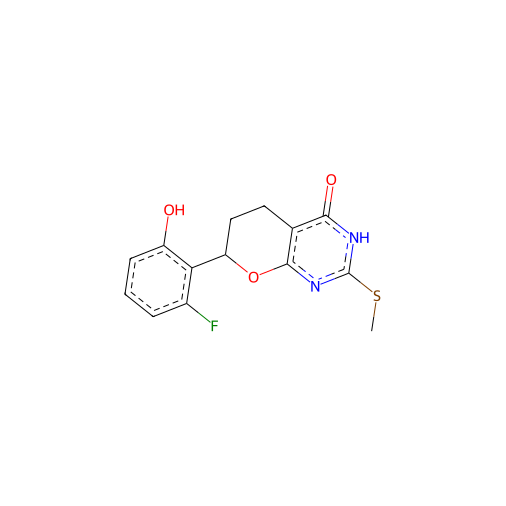 CSc1nc2c(c(=O)[nH]1)CCC(c1c(O)cccc1F)O2